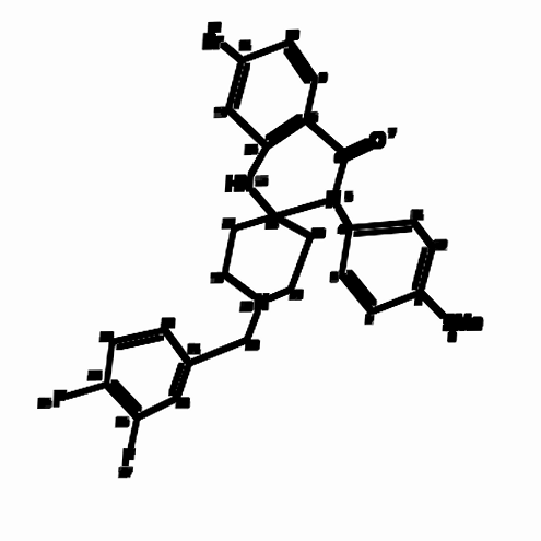 CSc1ccc(N2C(=O)c3ccc(Br)cc3NC23CCN(Cc2ccc(F)c(F)c2)CC3)cc1